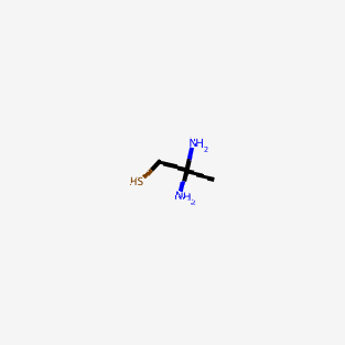 CC(N)(N)CS